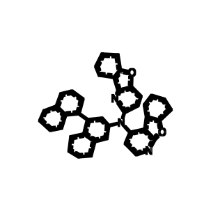 c1ccc2c(-c3cc(N(c4ccc5oc6ccccc6c5n4)c4ccnc5oc6ccccc6c45)cc4ccccc34)cccc2c1